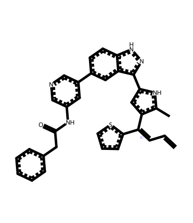 C=C/C=C(/c1cccs1)c1cc(-c2n[nH]c3ccc(-c4cncc(NC(=O)Cc5ccccc5)c4)cc23)[nH]c1C